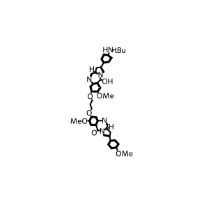 COc1ccc(C2=CN3C(=O)c4cc(OC)c(OCCCOc5cc6c(cc5OC)C(O)N5C=C(c7ccc(NC(C)(C)C)cc7)C[C@H]5C=N6)cc4N=C[C@@H]3C2)cc1